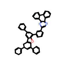 C1=CC(C2C=C(c3ccccc3)c3oc4c(-c5cccc(-c6cnc7c8ccccc8c8ccccc8c7n6)c5)cc(-c5ccccc5)cc4c3C2)=CCC1